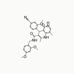 COc1ccc(CNC(=O)C2=C(C)Nc3c(C)c[nH]c(=O)c3C2c2ccc(C#N)cc2OC)c(OC)c1